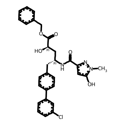 Cn1nc(C(=O)N[C@H](Cc2ccc(-c3cccc(Cl)c3)cc2)C[C@@H](O)C(=O)OCc2ccccc2)cc1O